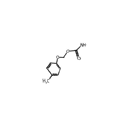 Cc1ccc(OCOC([NH])=O)cc1